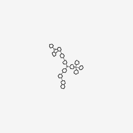 c1ccc(-n2c3ccccc3c3c(-c4ccc(-c5ccc(N(c6ccc(-c7cccc(-c8ccc9ccccc9c8)c7)cc6)c6ccc([Si](c7ccccc7)(c7ccccc7)c7ccccc7)cc6)cc5)cc4)cccc32)cc1